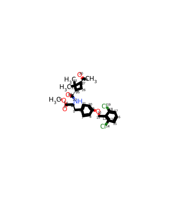 COC(=O)[C@H](Cc1ccc(OCc2c(Cl)cccc2Cl)cc1)NC(=O)[C@H]1C[C@@H](C(C)=O)C1(C)C